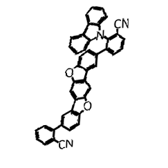 N#Cc1ccccc1-c1ccc2oc3cc4c(cc3c2c1)oc1ccc(-c2cccc(C#N)c2-n2c3ccccc3c3ccccc32)cc14